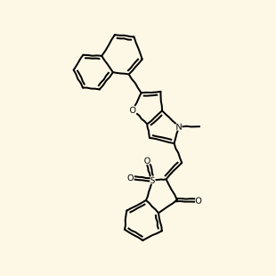 Cn1c(/C=C2/C(=O)c3ccccc3S2(=O)=O)cc2oc(-c3cccc4ccccc34)cc21